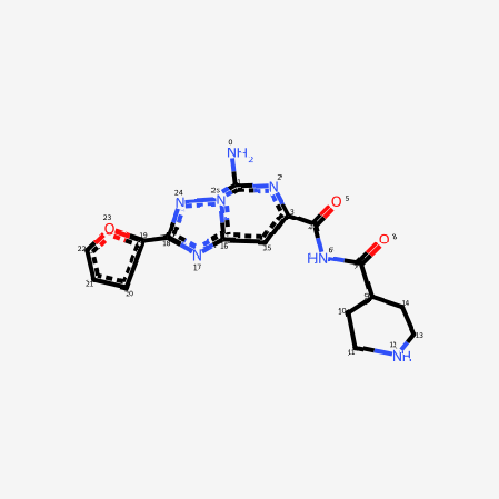 Nc1nc(C(=O)NC(=O)C2CCNCC2)cc2nc(-c3ccco3)nn12